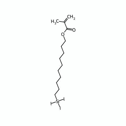 C=C(C)C(=O)OCCCCCCCCCC[Si](I)(I)I